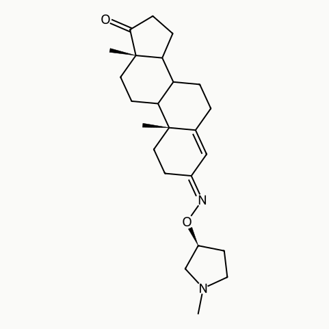 CN1CC[C@H](ON=C2C=C3CCC4C(CC[C@]5(C)C(=O)CCC45)[C@@]3(C)CC2)C1